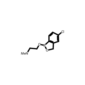 CNCCOB1OCc2cc(Cl)ccc21